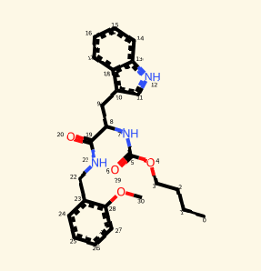 CCCCOC(=O)NC(Cc1c[nH]c2ccccc12)C(=O)NCc1ccccc1OC